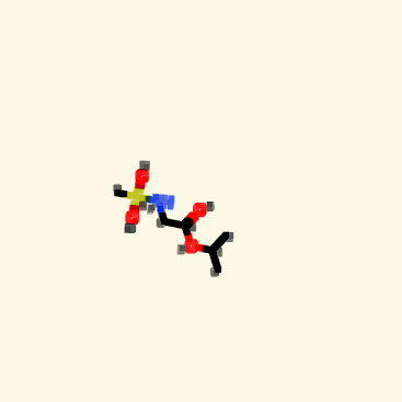 CC(C)OC(=O)CNS(C)(=O)=O